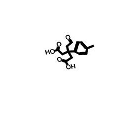 Cc1ccc(C(CC=O)(CC(=O)O)CC(=O)O)cc1